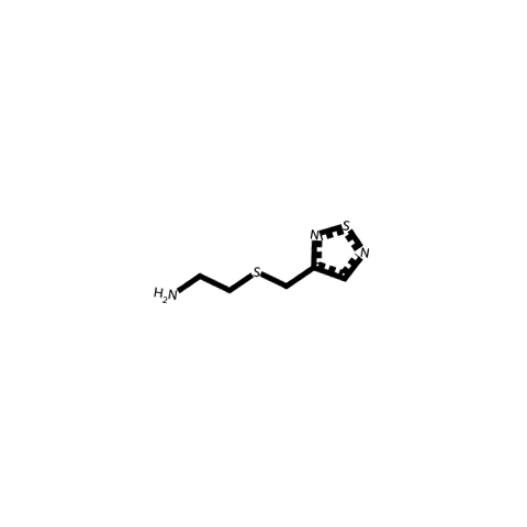 NCCSCc1cnsn1